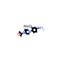 COc1cc(N)ccc1N1CC2CC1CN2C1COC1